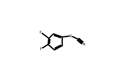 N#CSc1ccc(F)c(F)c1